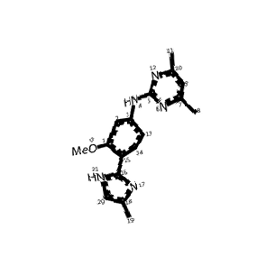 COc1cc(Nc2nc(C)cc(C)n2)ccc1-c1nc(C)c[nH]1